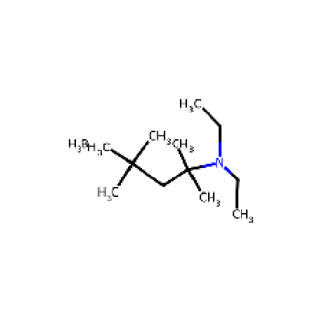 B.CCN(CC)C(C)(C)CC(C)(C)C